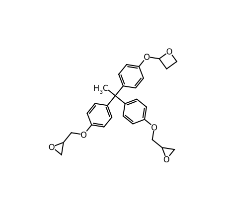 CC(c1ccc(OCC2CO2)cc1)(c1ccc(OCC2CO2)cc1)c1ccc(OC2CCO2)cc1